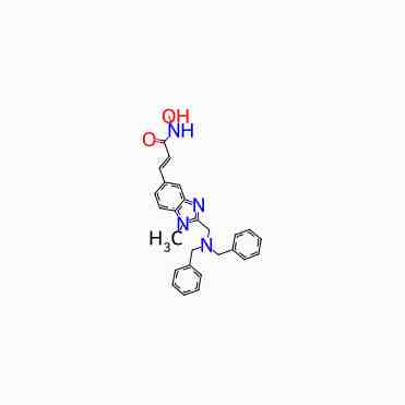 Cn1c(CN(Cc2ccccc2)Cc2ccccc2)nc2cc(C=CC(=O)NO)ccc21